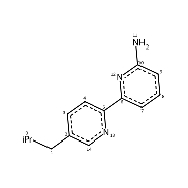 CC(C)Cc1ccc(-c2cccc(N)n2)nc1